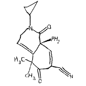 CC1(C)C(=O)C(C#N)=C[C@@]2(P)C(=O)N(C3CC3)CC=C12